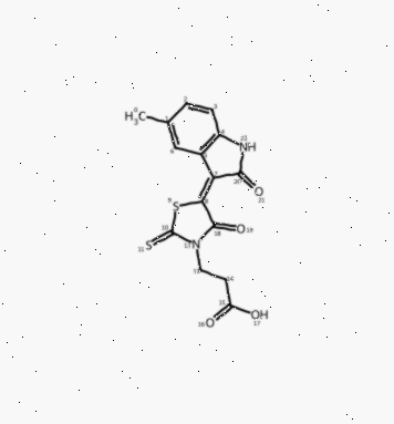 Cc1ccc2c(c1)/C(=C1\SC(=S)N(CCC(=O)O)C1=O)C(=O)N2